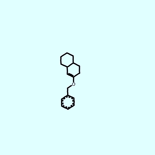 C1=C(OCc2ccccc2)CCC2CCCCC12